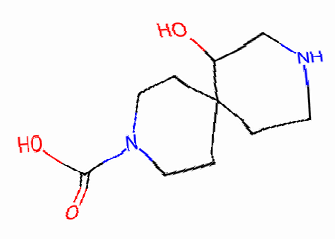 O=C(O)N1CCC2(CCNCC2O)CC1